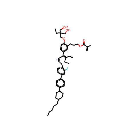 C=C(C)C(=O)OCCCc1cc(C(/C=C\Cc2ccc(-c3ccc(C4CCC(CCCCC)CC4)cc3)cc2F)=C(CC)CC)ccc1OCC(CC)(CO)CO